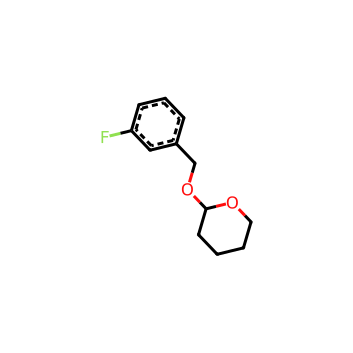 Fc1cccc(COC2CCCCO2)c1